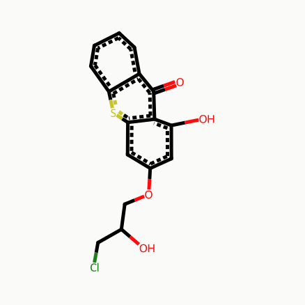 O=c1c2ccccc2sc2cc(OCC(O)CCl)cc(O)c12